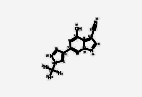 [2H]C([2H])([2H])n1cc(-c2cc(O)c3c(C#N)cnn3c2)cn1